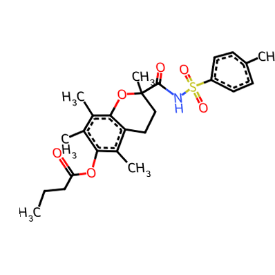 CCCC(=O)Oc1c(C)c(C)c2c(c1C)CCC(C)(C(=O)NS(=O)(=O)c1ccc(C)cc1)O2